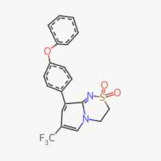 O=S1(=O)CCN2C=C(C(F)(F)F)C=C(c3ccc(Oc4ccccc4)cc3)C2=N1